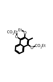 CCOC(=O)Oc1c(C)c(OCC)c(OC(=O)OCC)c2ccccc12